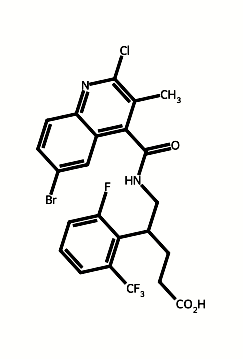 Cc1c(Cl)nc2ccc(Br)cc2c1C(=O)NCC(CCC(=O)O)c1c(F)cccc1C(F)(F)F